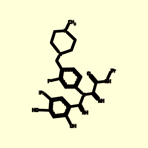 CC(C)NC(=O)C(=N)N(C(=N)c1cc(C(C)C)c(O)cc1O)c1ccc(CN2CCN(C)CC2)c(F)c1